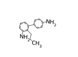 CCCc1c(N)cccc1-c1ccc(N)cc1